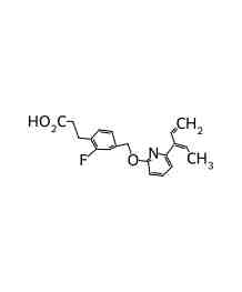 C=C/C(=C/C)c1cccc(OCc2ccc(CCC(=O)O)c(F)c2)n1